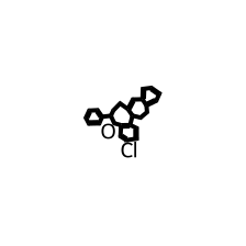 O=C1c2cc(Cl)ccc2C2CCc3ccccc3C=C2CCC1c1ccccc1